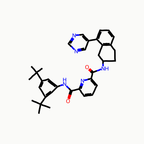 CC(C)(C)c1cc(NC(=O)c2cccc(C(=O)NC3CCc4cccc(-c5cncnc5)c4C3)n2)cc(C(C)(C)C)c1